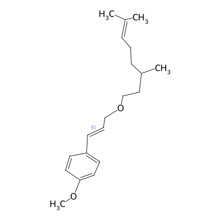 COc1ccc(/C=C/COCCC(C)CCC=C(C)C)cc1